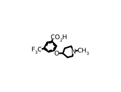 CN1CCC(Oc2cc(C(=O)O)cc(C(F)(F)F)c2)CC1